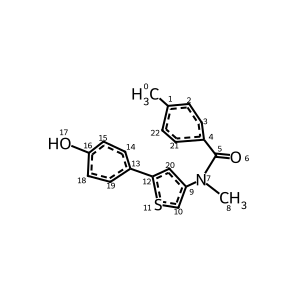 Cc1ccc(C(=O)N(C)c2csc(-c3ccc(O)cc3)c2)cc1